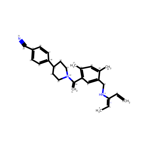 C=C/C(=C/C)NCc1cc(C(=C)N2CCC(c3ccc(C#N)cc3)CC2)c(C)cc1C